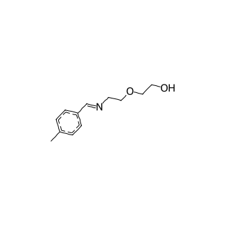 Cc1ccc(C=NCCOCCO)cc1